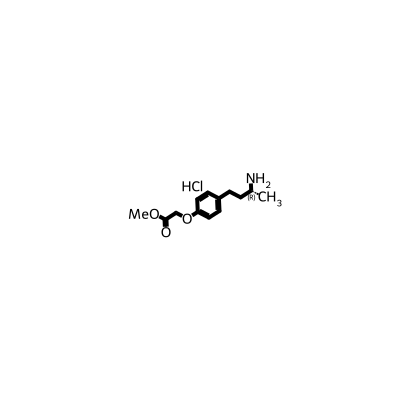 COC(=O)COc1ccc(CC[C@@H](C)N)cc1.Cl